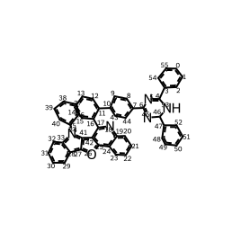 c1ccc(C2=NC(c3ccc(-c4ccccc4-c4nc5ccccc5c5oc6c7ccccc7n(-c7ccccc7)c6c45)cc3)=NC(c3ccccc3)N2)cc1